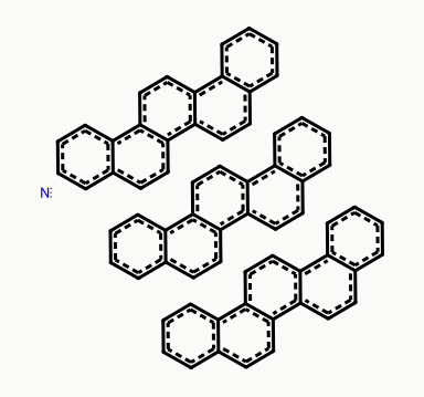 [N].c1ccc2c(c1)ccc1c2ccc2c3ccccc3ccc21.c1ccc2c(c1)ccc1c2ccc2c3ccccc3ccc21.c1ccc2c(c1)ccc1c2ccc2c3ccccc3ccc21